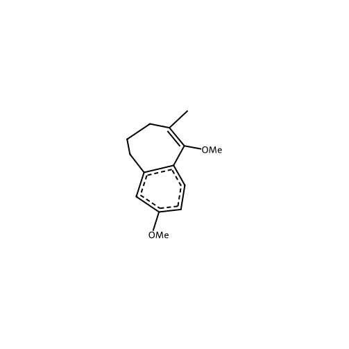 COC1=C(C)CCCc2cc(OC)ccc21